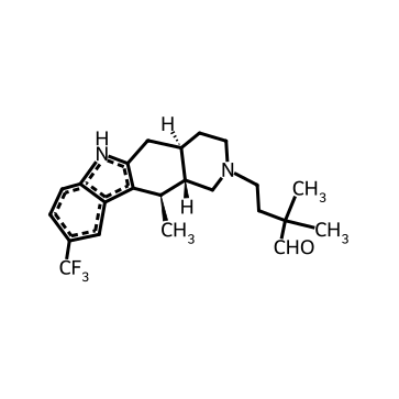 C[C@H]1c2c([nH]c3ccc(C(F)(F)F)cc23)C[C@H]2CCN(CCC(C)(C)C=O)C[C@@H]21